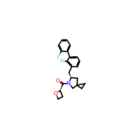 O=C([C@H]1CCO1)N1CC2(CC2)C[C@@H]1Cc1cccc(-c2ccccc2F)c1F